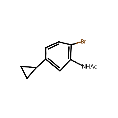 CC(=O)Nc1cc(C2CC2)ccc1Br